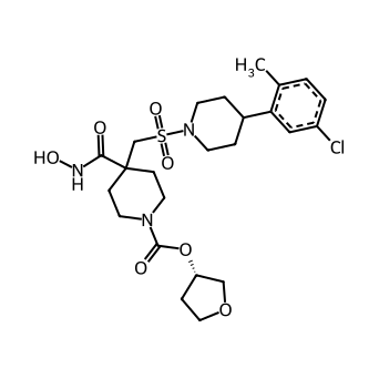 Cc1ccc(Cl)cc1C1CCN(S(=O)(=O)CC2(C(=O)NO)CCN(C(=O)O[C@H]3CCOC3)CC2)CC1